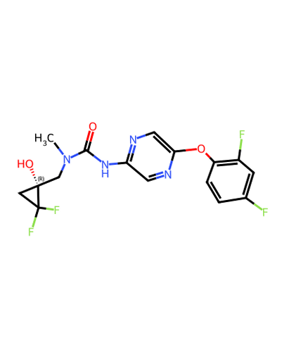 CN(C[C@]1(O)CC1(F)F)C(=O)Nc1cnc(Oc2ccc(F)cc2F)cn1